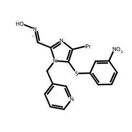 CC(C)c1nc(/C=N/O)n(Cc2cccnc2)c1Sc1cccc([N+](=O)[O-])c1